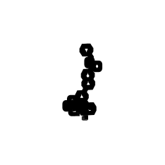 O=C(OCc1ccccc1)c1ccc2cc(-c3ccc(OS(=O)(=O)C(F)(F)F)c(C45CC6CC(CC(C6)C4)C5)c3)ccc2c1